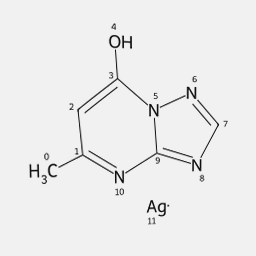 Cc1cc(O)n2ncnc2n1.[Ag]